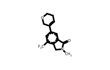 CN1Cc2c(cc(C3=CCCOC3)cc2C(F)(F)F)C1=O